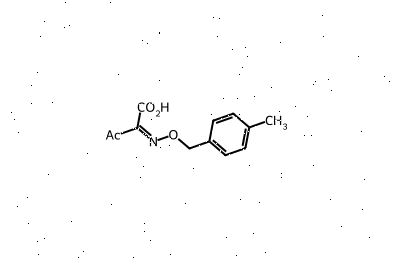 CC(=O)C(=NOCc1ccc(C)cc1)C(=O)O